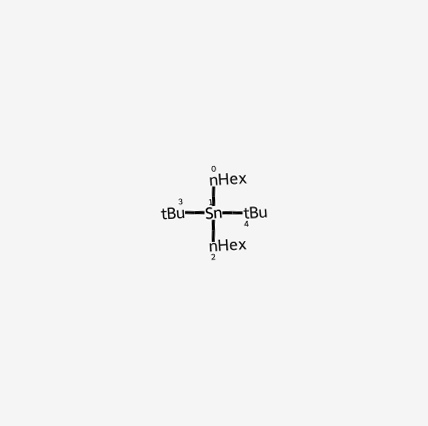 CCCCC[CH2][Sn]([CH2]CCCCC)([C](C)(C)C)[C](C)(C)C